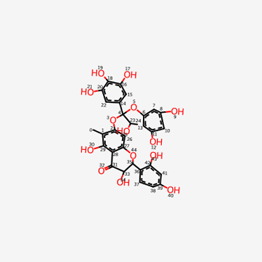 Cc1c(OC(Oc2cc(O)cc(O)c2)(c2cc(O)c(O)c(O)c2)C(C)O)cc2c(c1O)C(=O)C(O)C(c1ccc(O)cc1O)O2